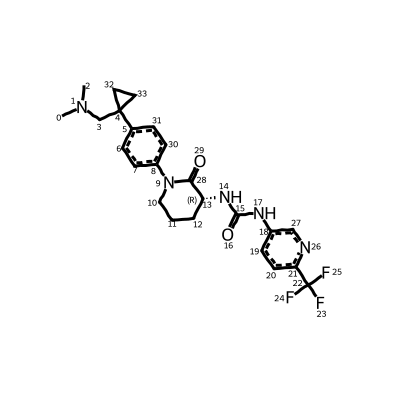 CN(C)CC1(c2ccc(N3CCC[C@@H](NC(=O)Nc4ccc(C(F)(F)F)nc4)C3=O)cc2)CC1